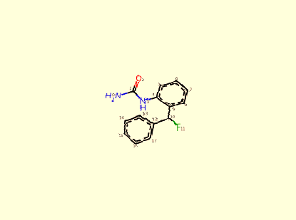 NC(=O)Nc1ccccc1[C](F)c1ccccc1